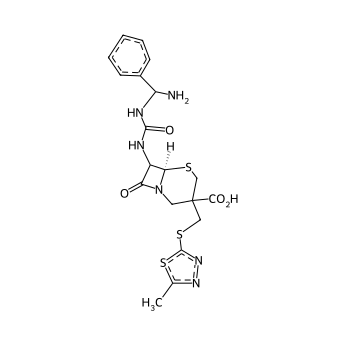 Cc1nnc(SCC2(C(=O)O)CS[C@@H]3C(NC(=O)NC(N)c4ccccc4)C(=O)N3C2)s1